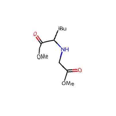 CCC(C)C(NCC(=O)OC)C(=O)OC